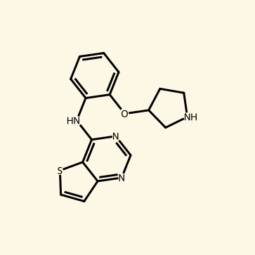 c1ccc(OC2CCNC2)c(Nc2ncnc3ccsc23)c1